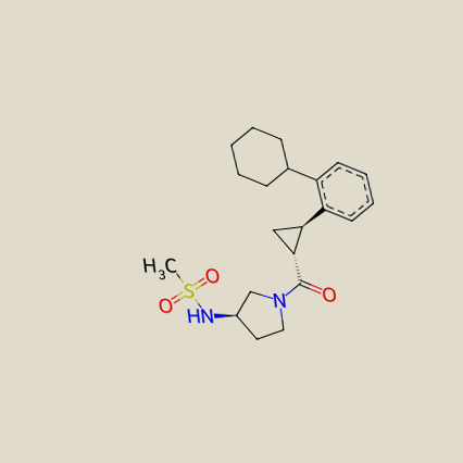 CS(=O)(=O)N[C@@H]1CCN(C(=O)[C@@H]2C[C@H]2c2ccccc2C2CCCCC2)C1